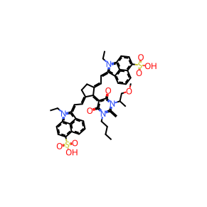 C=c1n(CCCC)c(=O)c(=C2/C(=C/C=c3\c4cccc5c(S(=O)(=O)O)ccc(c54)n3CC)CC/C2=C\C=c2/c3cccc4c(S(=O)(=O)O)ccc(c43)n2CC)c(=O)n1C(C)COC